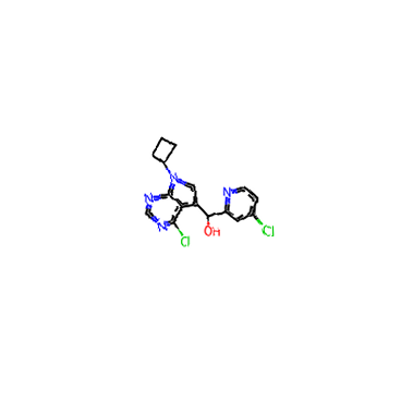 OC(c1cc(Cl)ccn1)c1cn(C2CCC2)c2ncnc(Cl)c12